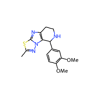 COc1ccc(C2NCCc3nc4sc(C)nn4c32)cc1OC